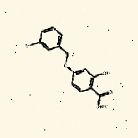 COC(=O)c1ccc(OCc2cccc(Br)c2)cc1O